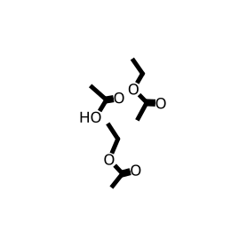 CC(=O)O.CCOC(C)=O.CCOC(C)=O